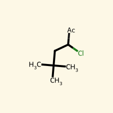 CC(=O)C(Cl)CC(C)(C)C